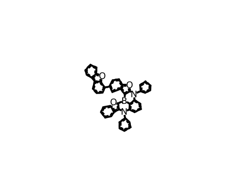 c1ccc(N2c3cccc4c3B(c3oc5ccccc5c3N4c3ccccc3)c3c2oc2ccc(-c4cccc5c4oc4ccccc45)cc32)cc1